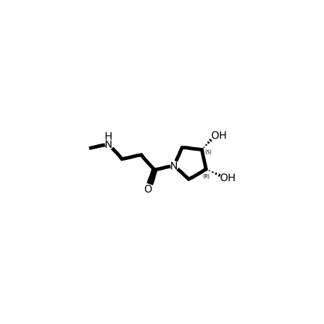 CNCCC(=O)N1C[C@@H](O)[C@@H](O)C1